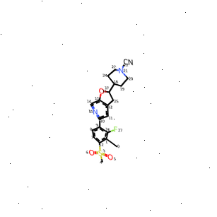 Cc1c(S(C)(=O)=O)ccc(-c2cc3c(cn2)OC(C2CCN(C#N)CC2)C3)c1F